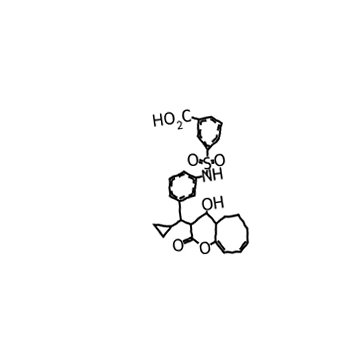 O=C(O)c1cccc(S(=O)(=O)Nc2cccc(C(C3CC3)C3C(=O)OC4=CC=CCCCC4C3O)c2)c1